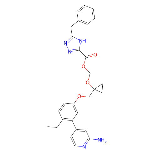 CCc1ccc(OCC2(OCOC(=O)c3nnc(Cc4ccccc4)[nH]3)CC2)cc1-c1ccnc(N)c1